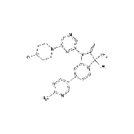 Cc1ncc(-c2ccc3c(c2)N(c2cncc(N4CC[S+]([O-])CC4)n2)C(=O)C3(C)C)cn1